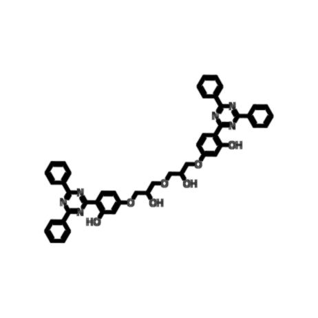 Oc1cc(OCC(O)COCC(O)COc2ccc(-c3nc(-c4ccccc4)nc(-c4ccccc4)n3)c(O)c2)ccc1-c1nc(-c2ccccc2)nc(-c2ccccc2)n1